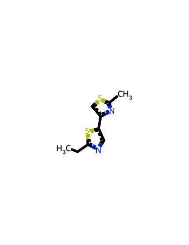 CCc1ncc(-c2csc(C)n2)s1